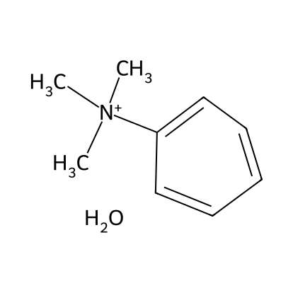 C[N+](C)(C)c1ccccc1.O